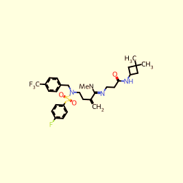 C=C(CCN(Cc1ccc(C(F)(F)F)cc1)S(=O)(=O)c1ccc(F)cc1)/C(=N/CCC(=O)NC1CC(C)(C)C1)NC